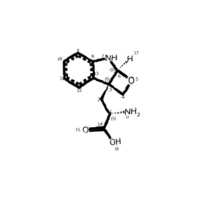 N[C@@H](C[C@]12CO[C@@H]1Nc1ccccc12)C(=O)O